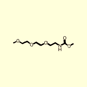 COCCOCCOCCNC(=O)OC